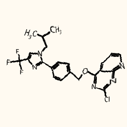 CC(C)Cn1cc(C(F)(F)F)nc1-c1ccc(COc2nc(Cl)nc3ncccc23)cc1